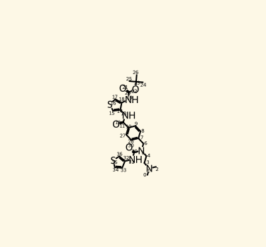 CN(C)CCN(Cc1ccc(C(=O)Nc2cscc2NC(=O)OC(C)(C)C)cc1)C(=O)Nc1ccsc1